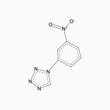 O=[N+]([O-])c1cccc(-n2cnnn2)c1